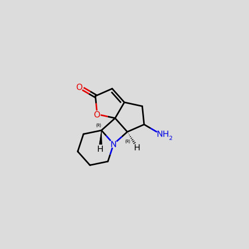 NC1CC2=CC(=O)OC23[C@H]2CCCCN2[C@H]13